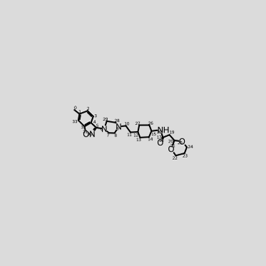 Cc1ccc2c(N3CCN(CCC4CCC(NC(=O)CC5OCCCO5)CC4)CC3)noc2c1